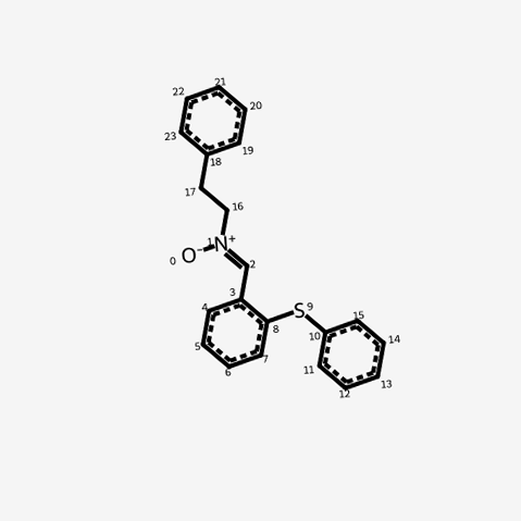 [O-]/[N+](=C\c1ccccc1Sc1ccccc1)CCc1ccccc1